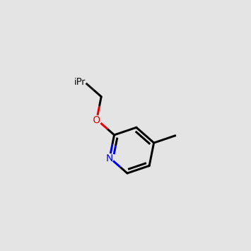 Cc1ccnc(OCC(C)C)c1